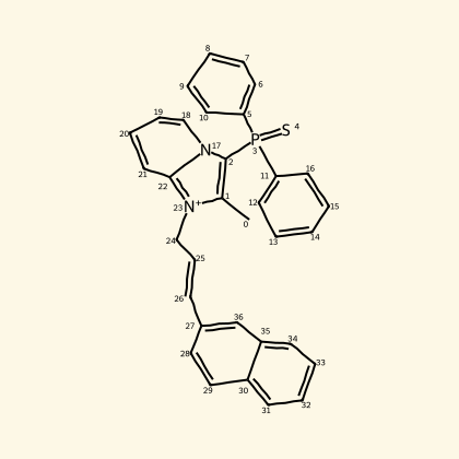 Cc1c(P(=S)(c2ccccc2)c2ccccc2)n2ccccc2[n+]1CC=Cc1ccc2ccccc2c1